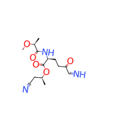 CO[C@@H](C)C(=O)N[C@@H](CCC(=O)C=N)C(=O)O[C@@H](C)CC#N